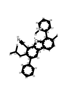 Cc1ccc2c(oc3c(C#N)c(CC(C)C)c(-c4ccccc4)cc32)c1-c1cccc[n+]1C